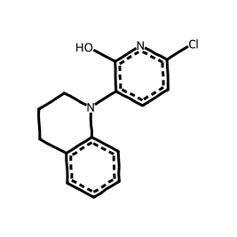 Oc1nc(Cl)ccc1N1CCCc2ccccc21